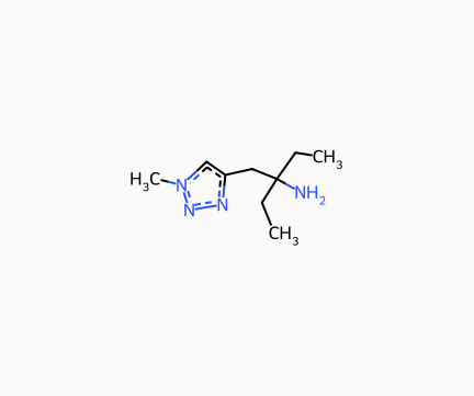 CCC(N)(CC)Cc1cn(C)nn1